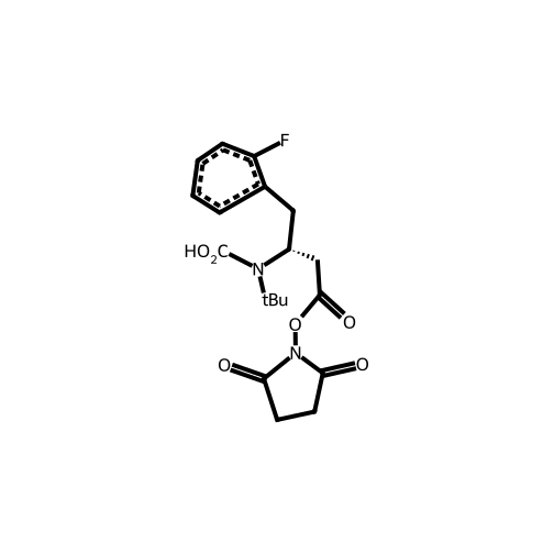 CC(C)(C)N(C(=O)O)[C@@H](CC(=O)ON1C(=O)CCC1=O)Cc1ccccc1F